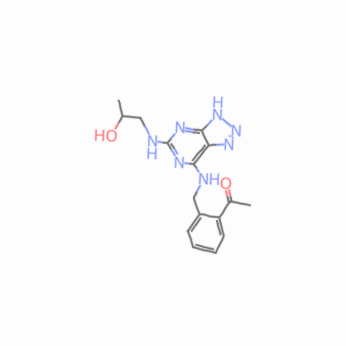 CC(=O)c1ccccc1CNc1nc(NCC(C)O)nc2[nH]nnc12